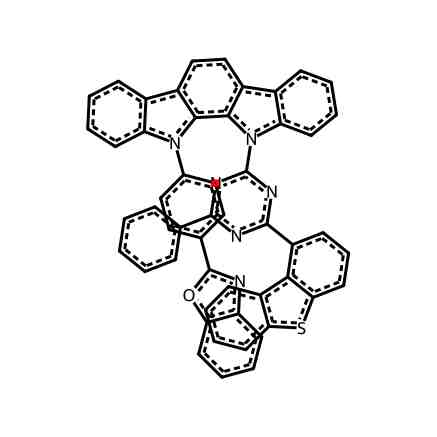 c1ccc(-c2nc(-c3cccc4sc5ccccc5c34)nc(-n3c4ccccc4c4ccc5c6ccccc6n(-c6ccc(-c7nc8ccccc8o7)cc6)c5c43)n2)cc1